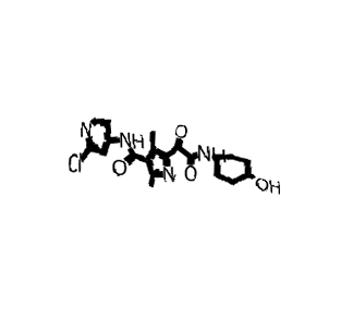 Cc1c(C(=O)Nc2ccnc(Cl)c2)c(C)n(C)c1C(=O)C(=O)NC1CCC(O)CC1